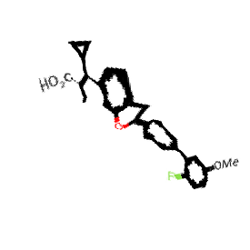 COc1ccc(F)c(-c2ccc(C3Cc4ccc([C@H](C5CC5)[C@H](C)C(=O)O)cc4O3)cc2)c1